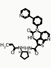 C=CC(=O)N[C@@H]1CCC[C@H]1NC(=O)c1sc2nccc3c2c1NC(=O)N3c1cccc(-c2cccnc2)c1